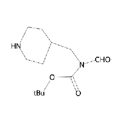 CC(C)(C)OC(=O)N([C]=O)CC1CCNCC1